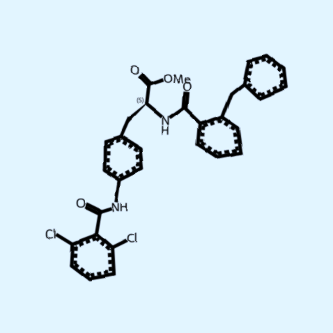 COC(=O)[C@H](Cc1ccc(NC(=O)c2c(Cl)cccc2Cl)cc1)NC(=O)c1ccccc1Cc1ccccc1